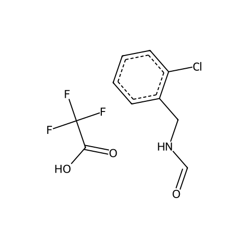 O=C(O)C(F)(F)F.O=CNCc1ccccc1Cl